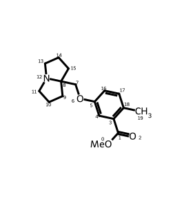 COC(=O)c1cc(OCC23CCCN2CCC3)ccc1C